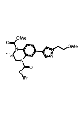 COCCn1cc(-c2ccc3c(c2)N(C(=O)OC(C)C)C[C@H](C)N3C(=O)OC)cn1